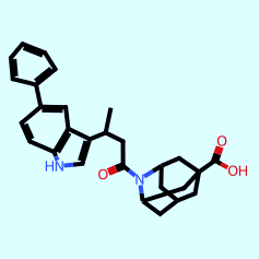 CC(CC(=O)N1C2CC3CC1CC(C(=O)O)(C3)C2)c1c[nH]c2ccc(-c3ccccc3)cc12